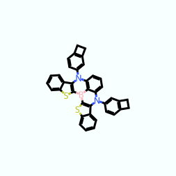 c1cc2c3c(c1)N(c1ccc4c(c1)CC4)c1c(sc4ccccc14)B3c1sc3ccccc3c1N2c1ccc2c(c1)CC2